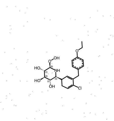 CCOc1ccc(CC2=CC([C@@H]3N[C@H](OO)[C@@H](O)[C@H](O)[C@H]3O)CC=C2Cl)cc1